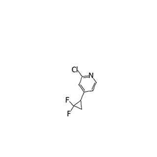 FC1(F)CC1c1ccnc(Cl)c1